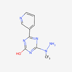 NN(c1nc(O)nc(-c2cccnc2)n1)C(F)(F)F